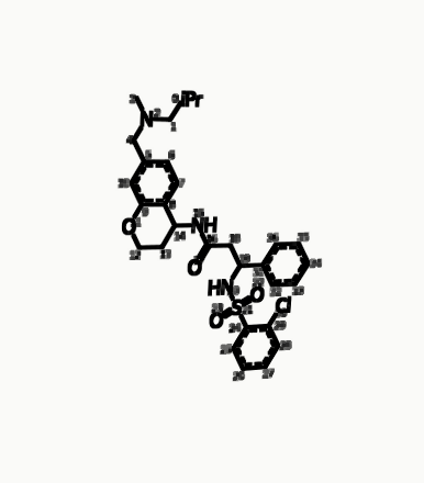 CC(C)CN(C)Cc1ccc2c(c1)OCCC2NC(=O)CC(NS(=O)(=O)c1ccccc1Cl)c1ccccc1